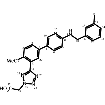 COc1ccc(-c2ccc(NCc3cccc(C)c3)nc2)cc1-c1nnn(CC(=O)O)n1